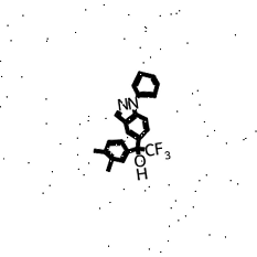 Cc1ccc(C(O)(c2ccc3c(cnn3-c3ccccc3)c2)C(F)(F)F)cc1C